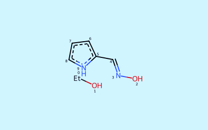 CCO.ON=Cc1ccc[nH]1